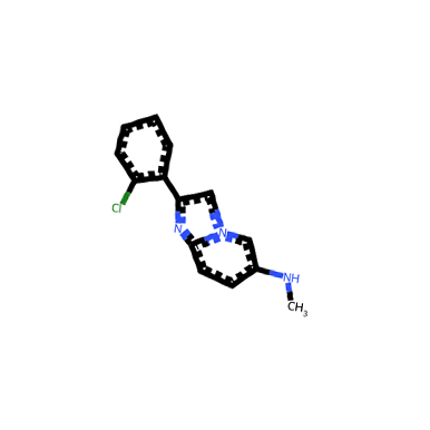 CNc1ccc2nc(-c3ccccc3Cl)cn2c1